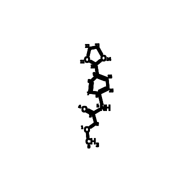 COCC(=O)Nc1ccc(C2OCCO2)cc1